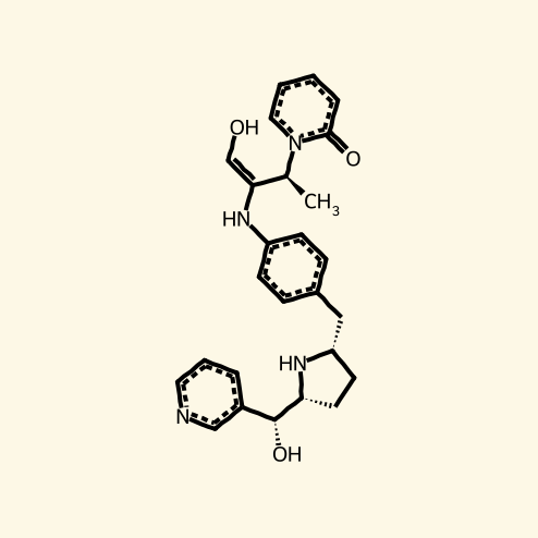 C[C@@H](/C(=C\O)Nc1ccc(C[C@@H]2CC[C@H]([C@H](O)c3cccnc3)N2)cc1)n1ccccc1=O